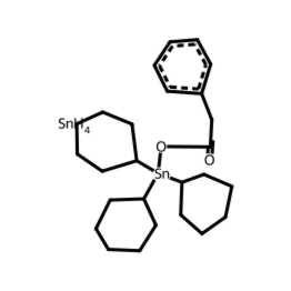 O=C(Cc1ccccc1)[O][Sn]([CH]1CCCCC1)([CH]1CCCCC1)[CH]1CCCCC1.[SnH4]